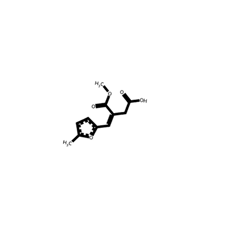 COC(=O)/C(=C\c1ccc(C)o1)CC(=O)O